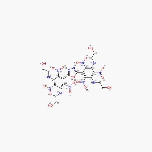 O=[N+]([O-])c1c(NCCO)c([N+](=O)[O-])c(-c2nnc(-c3c([N+](=O)[O-])c(NCCO)c([N+](=O)[O-])c(NCCO)c3[N+](=O)[O-])o2)c([N+](=O)[O-])c1NCCO